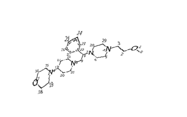 COCCN1CCN(C(CN2CCC(N3CCOCC3)CC2)c2ccccc2)CC1